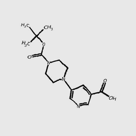 CC(C)(C)OC(=O)N1CCN(c2cncc(C(=O)O)c2)CC1